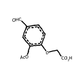 CC(=O)Oc1cc(C=O)ccc1OCC(=O)O